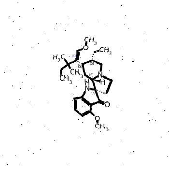 CC[C@@H]1CN2CC[C@]3(Nc4cccc(OC)c4C3=O)[C@@H]2C[C@@H]1/C(=C\OC)C(C)(C)CC